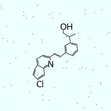 C[C](CO)c1cccc(C=Cc2ccc3ccc(Cl)cc3n2)c1